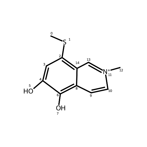 CSc1cc(O)c(O)c2cc[n+](C)cc12